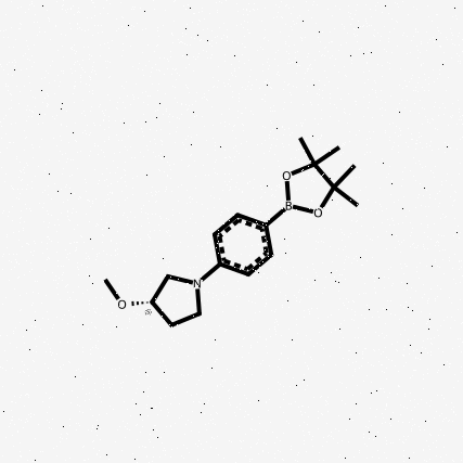 CO[C@H]1CCN(c2ccc(B3OC(C)(C)C(C)(C)O3)cc2)C1